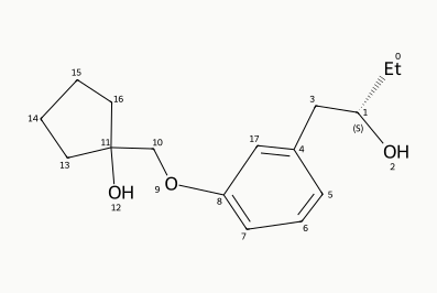 CC[C@H](O)Cc1cccc(OCC2(O)CCCC2)c1